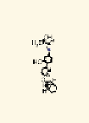 CN(C)C(=O)/C=C/c1ccc(-c2ccc(O[C@H]3C[C@H]4CCC[C@@H](C3)N4)nn2)c(O)c1